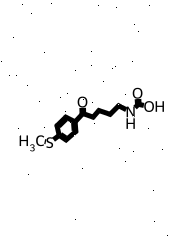 CSc1ccc(C(=O)CCCCNC(=O)O)cc1